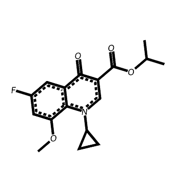 COc1cc(F)cc2c(=O)c(C(=O)OC(C)C)cn(C3CC3)c12